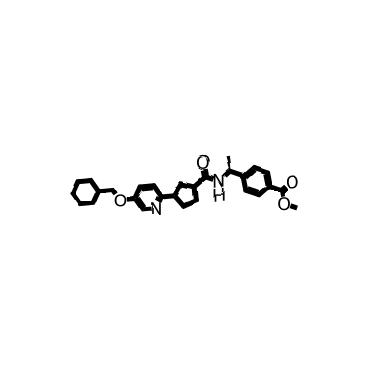 COC(=O)c1ccc([C@H](C)NC(=O)C2CCC(c3ccc(OCC4CCCCC4)cn3)C2)cc1